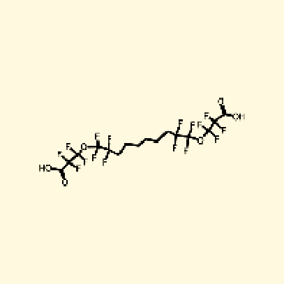 O=C(O)C(F)(F)C(F)(F)OC(F)(F)C(F)(F)CCCCCCC(F)(F)C(F)(F)OC(F)(F)C(F)(F)C(=O)O